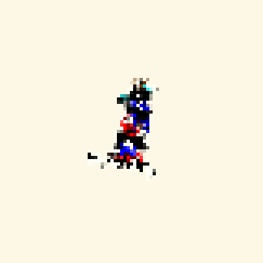 CC(C)(C)OC(=O)N1CCC(ON=C2CCN(c3cc(F)c(Br)cc3F)CC2)CC1